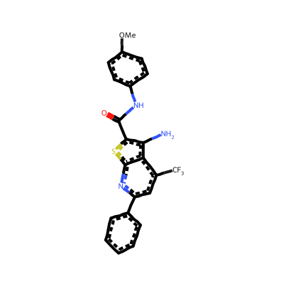 COc1ccc(NC(=O)c2sc3nc(-c4ccccc4)cc(C(F)(F)F)c3c2N)cc1